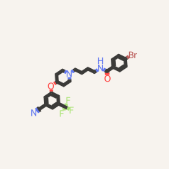 N#Cc1cc(OC2CCN(CCCCNC(=O)c3ccc(Br)cc3)CC2)cc(C(F)(F)F)c1